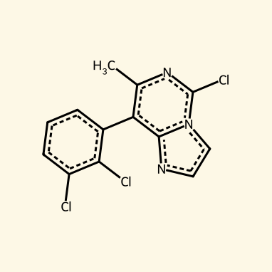 Cc1nc(Cl)n2ccnc2c1-c1cccc(Cl)c1Cl